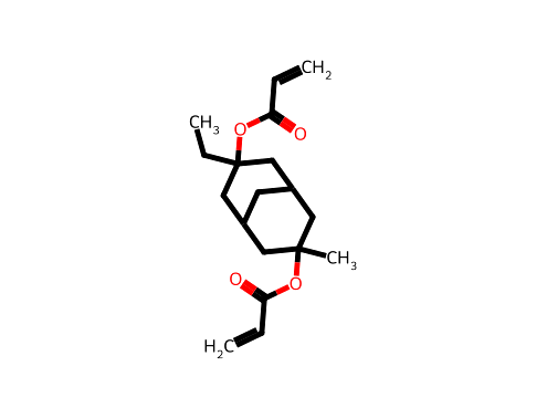 C=CC(=O)OC1(C)CC2CC(C1)CC(CC)(OC(=O)C=C)C2